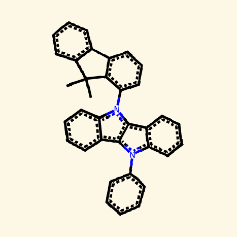 CC1(C)c2ccccc2-c2cccc(-n3c4ccccc4c4c3c3ccccc3n4-c3ccccc3)c21